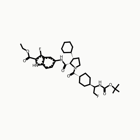 CCOC(=O)c1[nH]c2ccc(NC(=O)[C@@H]3[C@H](C4CCCCC4)CCN3C(=O)[C@H]3CC[C@H](C(CF)NC(=O)OC(C)(C)C)CC3)cc2c1F